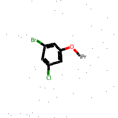 CC(C)Oc1cc(Cl)cc(Br)c1